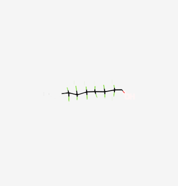 O=C(O)C(F)(F)C(F)(F)C(F)(F)C(F)(F)C(F)(F)C(F)(F)CO